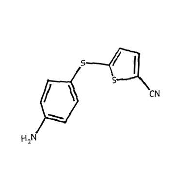 N#Cc1ccc(Sc2ccc(N)cc2)s1